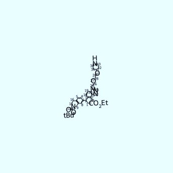 CCOC(=O)CC(c1ccc2c(c1)CN(C(=O)OC(C)(C)C)CC2)c1ccc2c(nnn2CCOCCOC2CCNCC2)c1C